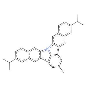 Cc1cc2c3cc4cc(C(C)C)ccc4cc3n3c4cc5ccc(C(C)C)cc5cc4c(c1)c23